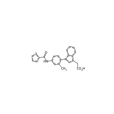 Cc1cc(NC(=O)c2cccs2)ccc1-n1cc(CC(=O)O)c2ccccc21